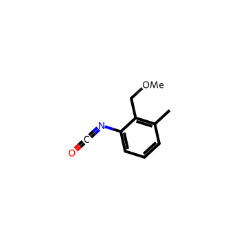 COCc1c(C)cccc1N=C=O